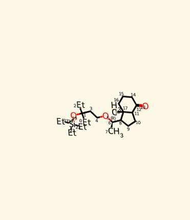 CCC(CC)(CCO[C@H](C)C1CCC2C(=O)CCCC21C)O[Si](CC)(CC)CC